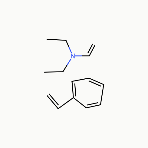 C=CN(CC)CC.C=Cc1ccccc1